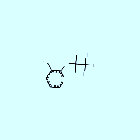 [2H]C([2H])([2H])C(C)(C)Oc1ncccc1Cl